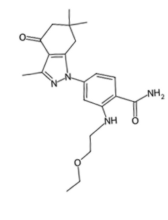 CCOCCNc1cc(-n2nc(C)c3c2CC(C)(C)CC3=O)ccc1C(N)=O